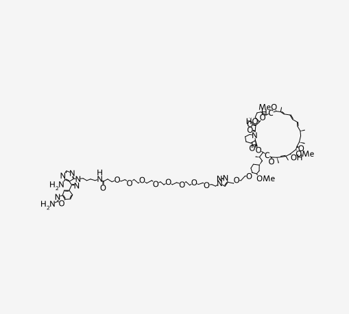 CO[C@H]1C[C@@H]2CC[C@@H](C)[C@@](O)(O2)C(=O)C(=O)N2CCCC[C@H]2C(=O)O[C@H]([C@H](C)C[C@@H]2CC[C@@H](OCCOCc3cn(CCOCCOCCOCCOCCOCCOCCOCCOCCC(=O)NCCCCn4nc(-c5ccc6oc(N)nc6c5)c5c(N)ncnc54)nn3)[C@H](OC)C2)CC(=O)[C@H](C)/C=C(\C)[C@@H](O)[C@@H](OC)C(=O)[C@H](C)C[C@H](C)/C=C/C=C/C=C/1C